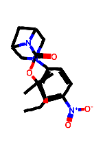 CCc1cc(N2CC3CC(C2)N3C(=O)OC(C)(C)C)ccc1[N+](=O)[O-]